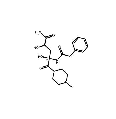 CN1CCN(C(=O)[C@](O)(CC(O)C(N)=O)NC(=O)Cc2ccccc2)CC1